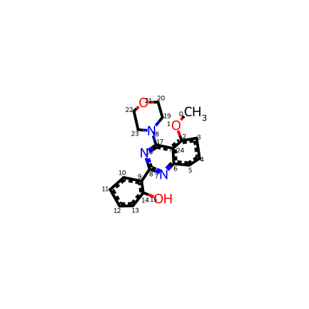 COc1cccc2nc(-c3ccccc3O)nc(N3CCOCC3)c12